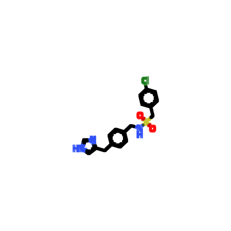 O=S(=O)(Cc1ccc(Cl)cc1)NCc1ccc(Cc2c[nH]cn2)cc1